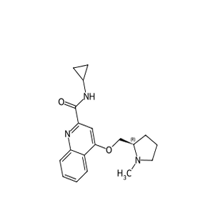 CN1CCC[C@@H]1COc1cc(C(=O)NC2CC2)nc2ccccc12